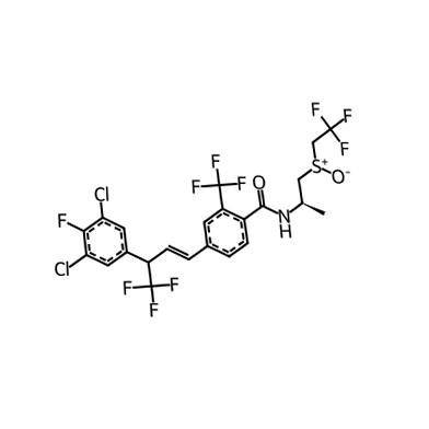 C[C@H](C[S+]([O-])CC(F)(F)F)NC(=O)c1ccc(/C=C/C(c2cc(Cl)c(F)c(Cl)c2)C(F)(F)F)cc1C(F)(F)F